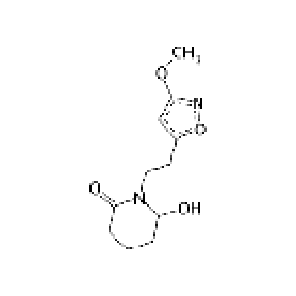 COc1cc(CCN2C(=O)CCCC2O)on1